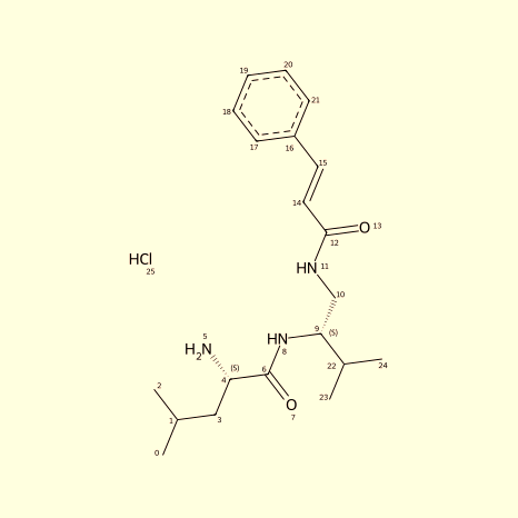 CC(C)C[C@H](N)C(=O)N[C@H](CNC(=O)C=Cc1ccccc1)C(C)C.Cl